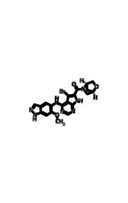 COc1cc2[nH]ncc2cc1Nc1ncnc2[nH]c(C(=O)N3C[C@H]4C[C@@H]3CO4)c(Br)c12